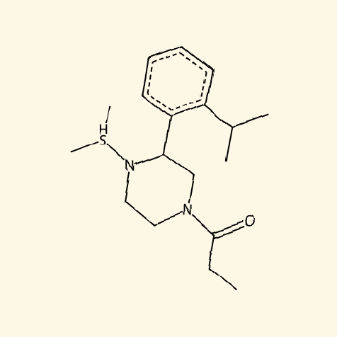 CCC(=O)N1CCN([SH](C)C)C(c2ccccc2C(C)C)C1